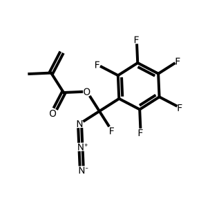 C=C(C)C(=O)OC(F)(N=[N+]=[N-])c1c(F)c(F)c(F)c(F)c1F